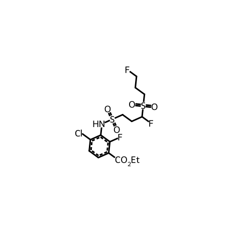 CCOC(=O)c1ccc(Cl)c(NS(=O)(=O)CCC(F)S(=O)(=O)CCCF)c1F